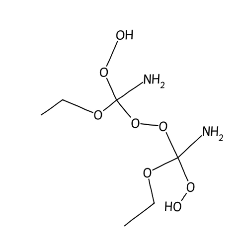 CCOC(N)(OO)OOC(N)(OO)OCC